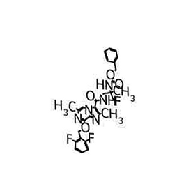 Cc1cn2c(C(=O)NCC(C)(CF)NC(=O)OCc3ccccc3)c(C)nc2c(OCc2c(F)cccc2F)n1